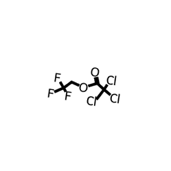 O=C(OCC(F)(F)F)C(Cl)(Cl)Cl